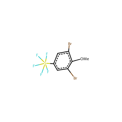 COc1c(Br)cc(S(F)(F)(F)(F)F)cc1Br